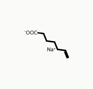 C=CCCCCC(=O)[O-].[Na+]